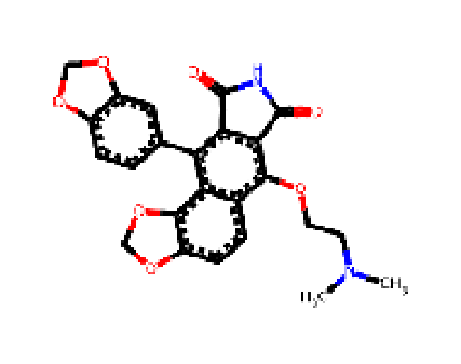 CN(C)CCOc1c2c(c(-c3ccc4c(c3)OCO4)c3c4c(ccc13)OCO4)C(=O)NC2=O